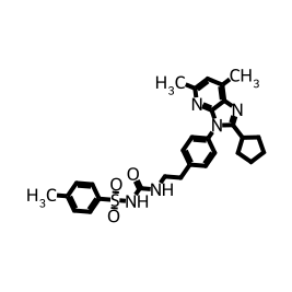 Cc1ccc(S(=O)(=O)NC(=O)NCCc2ccc(-n3c(C4CCCC4)nc4c(C)cc(C)nc43)cc2)cc1